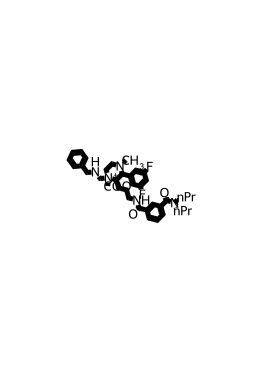 CCCN(CCC)C(=O)c1cccc(C(=O)NCCCC2C(c3cc(F)cc(F)c3)N(C)CC[N+]2(CNCc2ccccc2)C(=O)[O-])c1